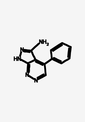 Nc1n[nH]c2nncc(-c3ccccc3)c12